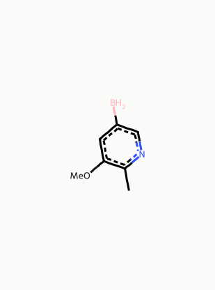 Bc1cnc(C)c(OC)c1